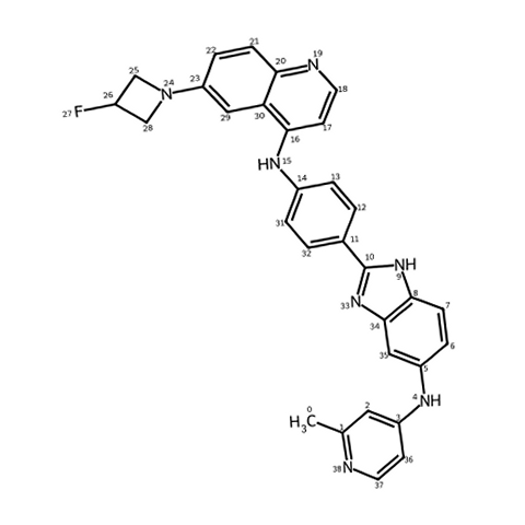 Cc1cc(Nc2ccc3[nH]c(-c4ccc(Nc5ccnc6ccc(N7CC(F)C7)cc56)cc4)nc3c2)ccn1